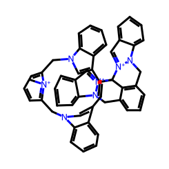 C[n+]1c2cccc1Cn1cc(c3ccccc31)/C(C13c4c(cccc4Cn4c5ccccc5c[n+]41)Cn1c4ccccc4c[n+]13)=C\c1cn(c3ccccc13)C2